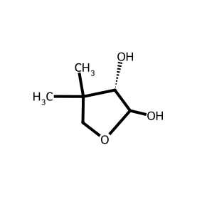 CC1(C)COC(O)[C@H]1O